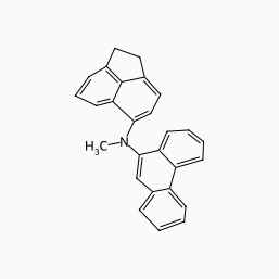 CN(c1ccc2c3c(cccc13)CC2)c1cc2ccccc2c2ccccc12